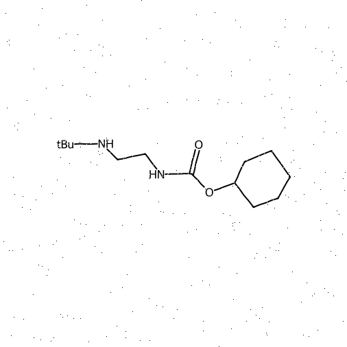 CC(C)(C)NCCNC(=O)OC1CCCCC1